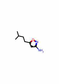 CC(C)CCc1cc(N)no1